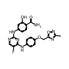 Cc1noc(COc2ccc(Nc3nc(Nc4ccc(C(N)=O)c(O)c4)ncc3F)cc2)n1